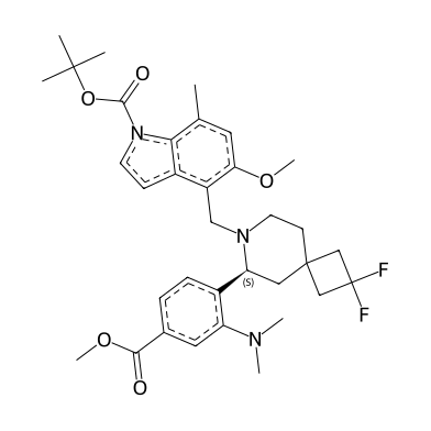 COC(=O)c1ccc([C@@H]2CC3(CCN2Cc2c(OC)cc(C)c4c2ccn4C(=O)OC(C)(C)C)CC(F)(F)C3)c(N(C)C)c1